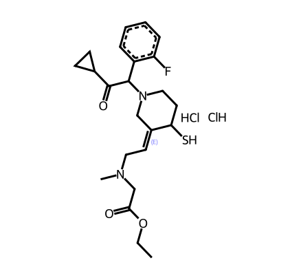 CCOC(=O)CN(C)C/C=C1\CN(C(C(=O)C2CC2)c2ccccc2F)CCC1S.Cl.Cl